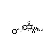 CC(C(=O)C(=O)OC(C)(C)C)C(=O)c1ccc(OCc2ccccc2)cc1